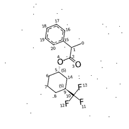 CC(C(=O)O[C@H]1CCC[C@H](C(F)(F)F)C1)c1ccccc1